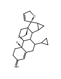 CC[C@]12CCC3C(C(C4CC4)CC4=CC(=N)CC[C@@H]43)C1C1CC1[C@@]21C=CCO1